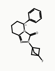 O=c1n(C23CC(F)(C2)C3)nc2n1[C@H](c1ccccc1)CCC2